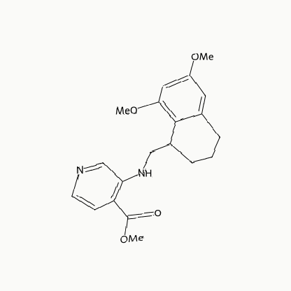 COC(=O)c1ccncc1NCC1CCCc2cc(OC)cc(OC)c21